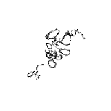 CCCCC#Cc1cccc(S(=O)(=O)Nc2ccccc2C(=O)N(c2ccccc2)c2ccc(C)cc2)c1